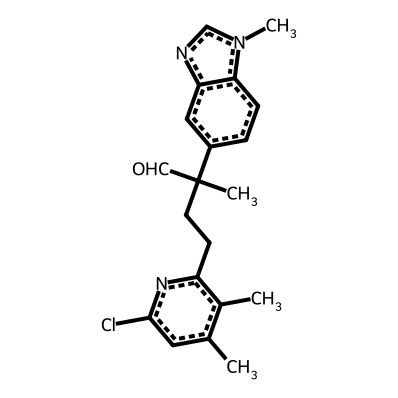 Cc1cc(Cl)nc(CCC(C)(C=O)c2ccc3c(c2)ncn3C)c1C